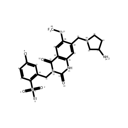 CCS(=O)(=O)c1ccc(Cl)cc1Cn1c(=O)[nH]c2cc(CN3CCC(N)C3)c(OC(F)(F)F)cc2c1=O